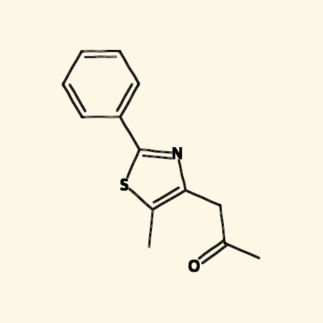 CC(=O)Cc1nc(-c2ccccc2)sc1C